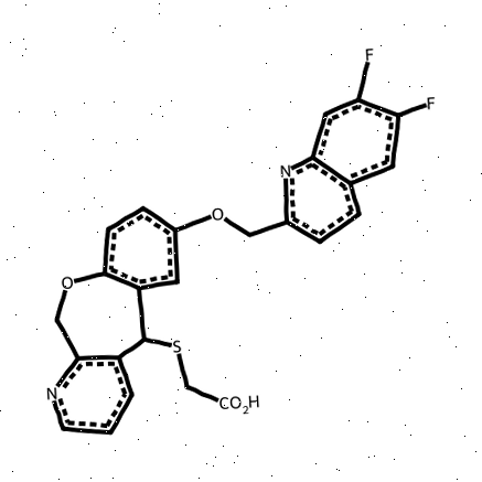 O=C(O)CSC1c2cc(OCc3ccc4cc(F)c(F)cc4n3)ccc2OCc2ncccc21